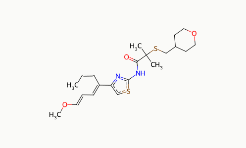 C\C=C/C(=C\C=C\OC)c1csc(NC(=O)C(C)(C)SCC2CCOCC2)n1